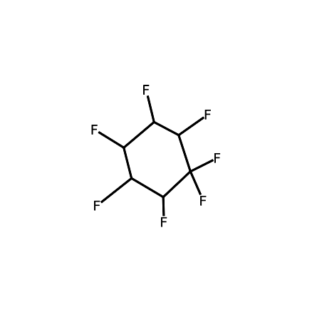 FC1C(F)C(F)C(F)(F)C(F)C1F